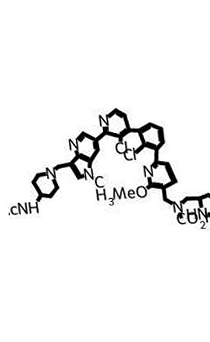 COc1nc(-c2cccc(-c3ccnc(-c4cnc5c(CN6CCC(NC(C)=O)CC6)cn(C)c5c4)c3Cl)c2Cl)ccc1CN(CC1CCC(=O)N1)C(=O)O